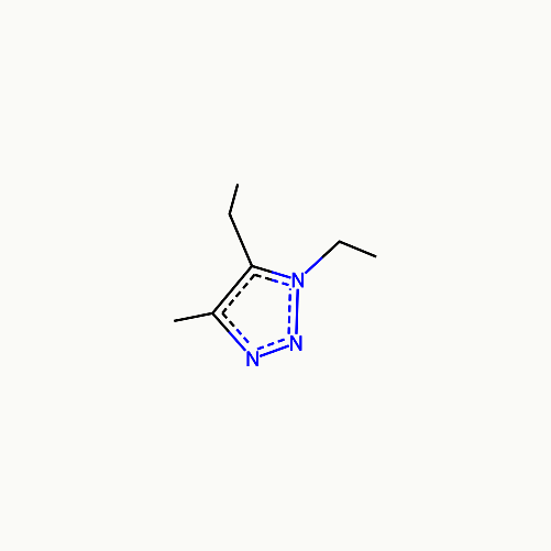 CCc1c(C)nnn1CC